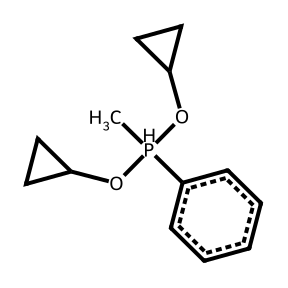 C[PH](OC1CC1)(OC1CC1)c1ccccc1